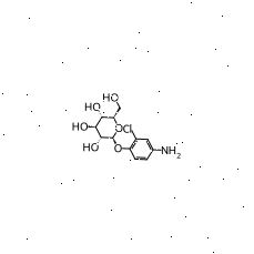 Nc1ccc(O[C@@H]2O[C@H](CO)[C@@H](O)[C@H](O)[C@H]2O)c(Cl)c1